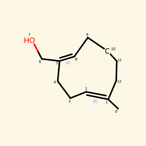 C/C1=C\CC/C(CO)=C/CCCC1